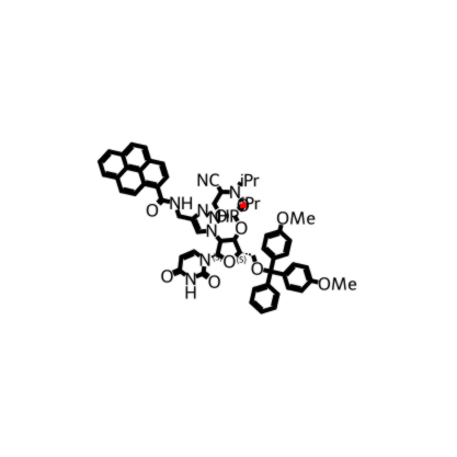 COc1ccc(C(OC[C@@H]2O[C@H](n3ccc(=O)[nH]c3=O)C(n3cc(CNC(=O)c4ccc5ccc6cccc7ccc4c5c67)nn3)C2O[PH](=O)OCC(C#N)N(C(C)C)C(C)C)(c2ccccc2)c2ccc(OC)cc2)cc1